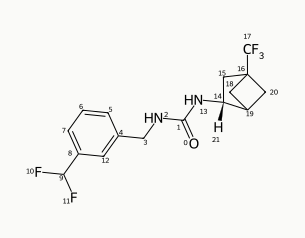 O=C(NCc1cccc(C(F)F)c1)N[C@@H]1CC2(C(F)(F)F)CC1C2